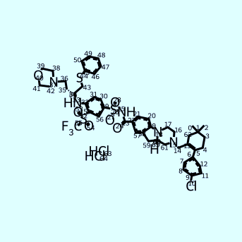 CC1(C)CCC(c2ccc(Cl)cc2)=C(CN2CCN3c4ccc(C(=O)NS(=O)(=O)c5ccc(N[C@H](CCN6CCOCC6)CSc6ccccc6)c(S(=O)(=O)C(F)(F)F)c5)cc4C[C@H]3C2)C1.Cl.Cl